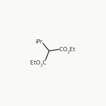 CCOC(=O)[C](C(=O)OCC)C(C)C